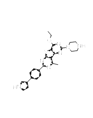 CCOc1nc(N2CCNCC2)nc2c1sc1nc(-c3ccc(-c4cc[nH]c4)cc3)nc(C)c12